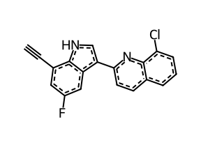 C#Cc1cc(F)cc2c(-c3ccc4cccc(Cl)c4n3)c[nH]c12